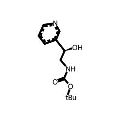 CC(C)(C)OC(=O)NC[C@H](O)c1cccnc1